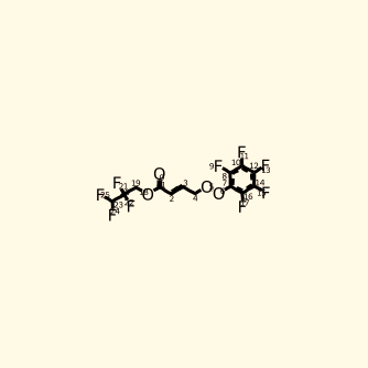 O=C(/C=C/COOc1c(F)c(F)c(F)c(F)c1F)OCC(F)(F)C(F)F